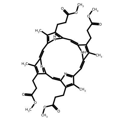 COC(=O)CCC1=C(C)c2cc3[nH]c(cc4[nH]c(cc5nc(cc1n2)C(CCC(=O)OC)=C5C)c(C)c4CCC(=O)OC)c(CCC(=O)OC)c3C